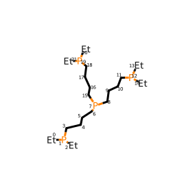 CCP(CC)CCCCP(CCCCP(CC)CC)CCCCP(CC)CC